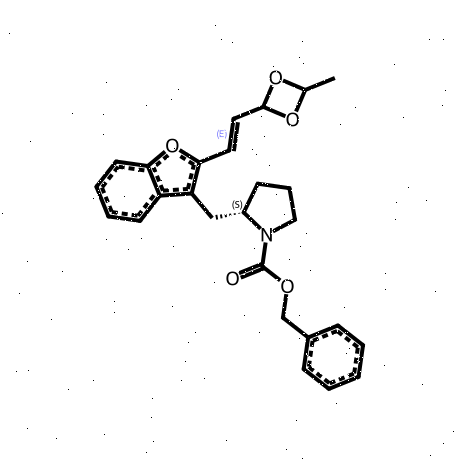 CC1OC(/C=C/c2oc3ccccc3c2C[C@@H]2CCCN2C(=O)OCc2ccccc2)O1